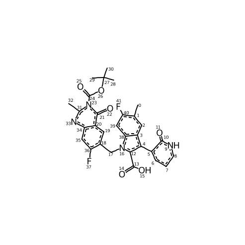 Cc1cc2c(-c3ccc[nH]c3=O)c(C(=O)O)n(Cc3cc4c(=O)n(C(=O)OC(C)(C)C)c(C)nc4cc3F)c2cc1F